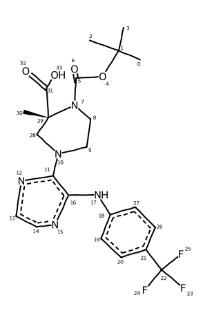 CC(C)(C)OC(=O)N1CCN(c2nccnc2Nc2ccc(C(F)(F)F)cc2)C[C@]1(C)C(=O)O